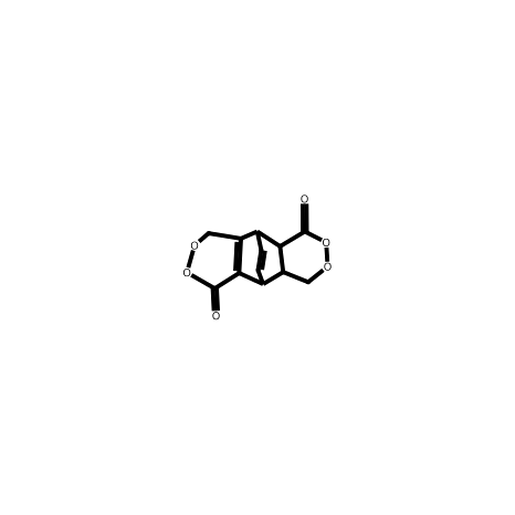 O=C1OOCC2=C1C1C=CC2C2C(=O)OOCC12